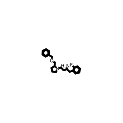 NC(CCN1CCCC1COCc1ccccc1)Cc1ccccc1F